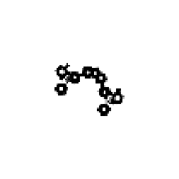 CC1CCCC2(C)C1c1cc(-c3ccc4c(c3)-c3cc(-c5ccc6c(c5)C5C(C)CCCC5(C)N6c5ccccc5)ccc3C4)ccc1N2c1ccccc1